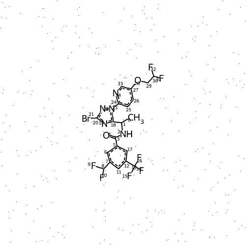 CC(NC(=O)c1cc(C(F)F)cc(C(F)(F)F)c1)c1nc(Br)nn1-c1ccc(OCC(F)F)cn1